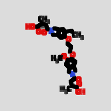 CCc1cc2c(cc1OCCCOc1cc3c(cc1OC)CN(C(=O)C[C@H](C)C(=O)O)C3)CN(C(=O)C[C@H](C)C(=O)O)C2